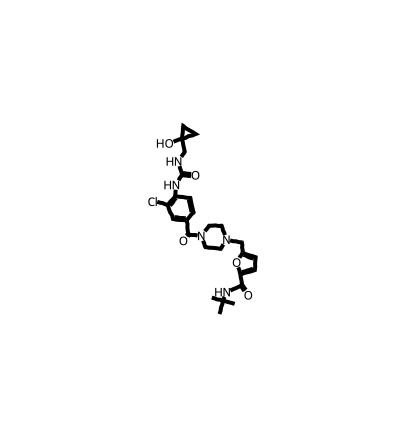 CC(C)(C)NC(=O)c1ccc(CN2CCN(C(=O)c3ccc(NC(=O)NCC4(O)CC4)c(Cl)c3)CC2)o1